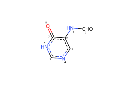 O=CNc1cnc[nH]c1=O